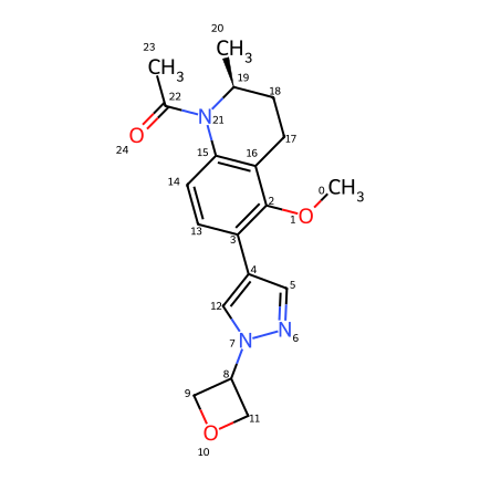 COc1c(-c2cnn(C3COC3)c2)ccc2c1CC[C@H](C)N2C(C)=O